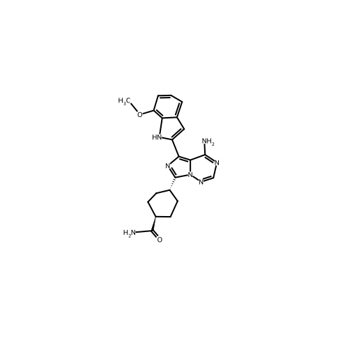 COc1cccc2cc(-c3nc([C@H]4CC[C@H](C(N)=O)CC4)n4ncnc(N)c34)[nH]c12